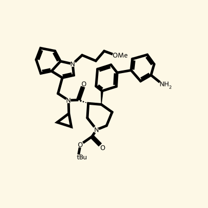 COCCCn1cc(CN(C(=O)[C@H]2CN(C(=O)OC(C)(C)C)CC[C@@H]2c2cccc(-c3cccc(N)c3)c2)C2CC2)c2ccccc21